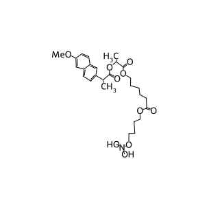 COc1ccc2cc(C(C)C(=O)OC(C)C(=O)OCCCCCC(=O)OCCCCON(O)O)ccc2c1